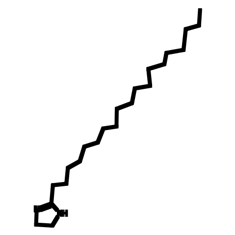 CCCCCCCCCCCCCCCCCCCC1=NCCN1